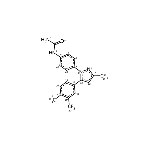 NC(=O)Nc1ccc(-n2nc(C(F)(F)F)cc2-c2ccc(C(F)(F)F)c(C(F)(F)F)c2)cc1